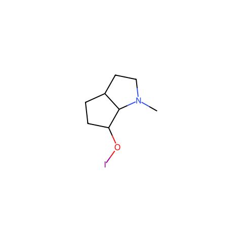 CN1CCC2CCC(OI)C21